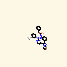 Cc1cccc(Nc2nccc(-c3c(-c4cccc(NC(=O)Cc5ccccc5)c4)nc4sccn34)n2)c1